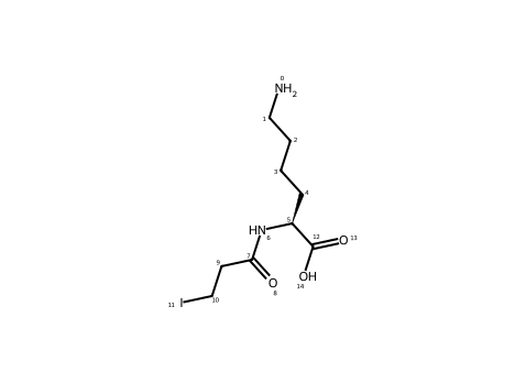 NCCCC[C@H](NC(=O)CCI)C(=O)O